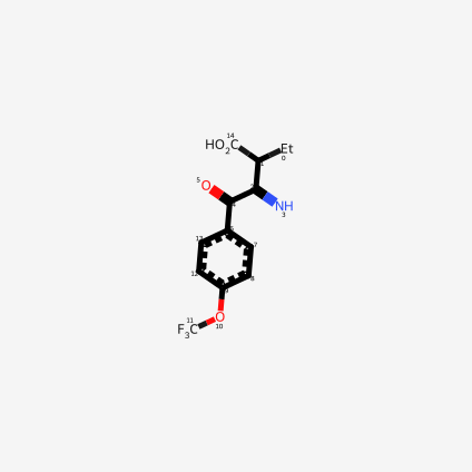 CCC(C(=N)C(=O)c1ccc(OC(F)(F)F)cc1)C(=O)O